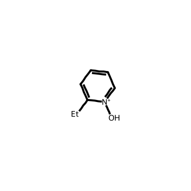 CCc1cccc[n+]1O